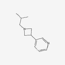 CC(C)CN1CC(c2cccnc2)C1